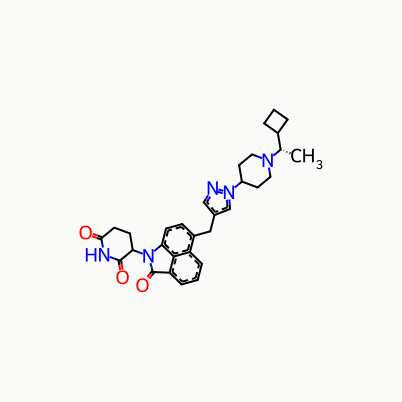 C[C@@H](C1CCC1)N1CCC(n2cc(Cc3ccc4c5c(cccc35)C(=O)N4C3CCC(=O)NC3=O)cn2)CC1